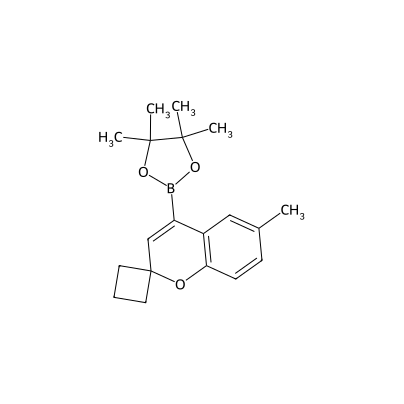 Cc1ccc2c(c1)C(B1OC(C)(C)C(C)(C)O1)=CC1(CCC1)O2